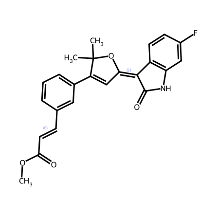 COC(=O)/C=C/c1cccc(C2=C/C(=C3\C(=O)Nc4cc(F)ccc43)OC2(C)C)c1